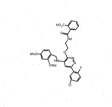 COc1ccc(CNc2cc(-c3cc(Cl)ccc3F)nnc2OCCNC(=O)c2ccccc2C(=O)O)c(OC)c1